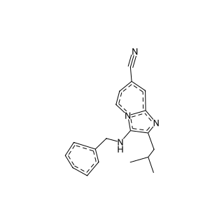 CC(C)Cc1nc2cc(C#N)ccn2c1NCc1ccccc1